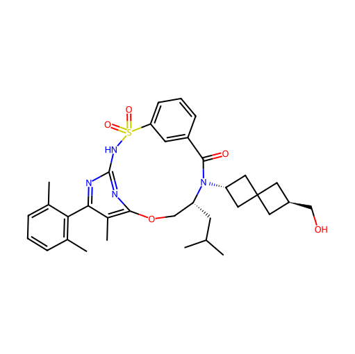 Cc1cccc(C)c1-c1nc2nc(c1C)OC[C@@H](CC(C)C)N([C@H]1CC3(C[C@H](CO)C3)C1)C(=O)c1cccc(c1)S(=O)(=O)N2